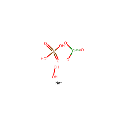 O=S(=O)(O)O.OO.[Na+].[O-][Cl+2]([O-])[O-]